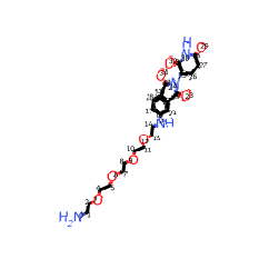 NCCOCCOCCOCCOCCNc1ccc2c(c1)C(=O)N(C1CCC(=O)NC1=O)C2=O